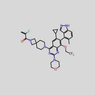 C=C(F)C(=O)N1CC2(CCN(c3nc(N4CCOCC4)nc4c(OCC(F)(F)F)c(-c5c(C)ccc6[nH]ncc56)c(C5CC5)cc34)CC2)C1